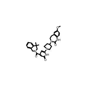 COc1ccc2c(c1)CCN(C1CCN(c3cc(C(=O)N4Cc5ccccc5C(C)(C)C4)cc(=O)[nH]3)CC1)C(=O)N2